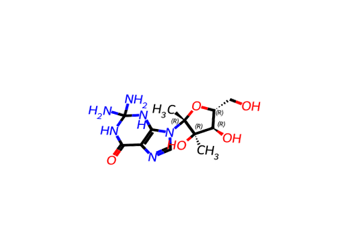 C[C@@]1(n2cnc3c2NC(N)(N)NC3=O)O[C@H](CO)[C@@H](O)[C@@]1(C)O